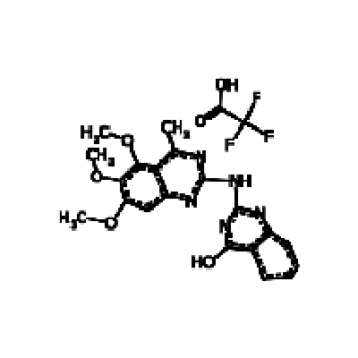 COc1cc2nc(Nc3nc(O)c4ccccc4n3)nc(C)c2c(OC)c1OC.O=C(O)C(F)(F)F